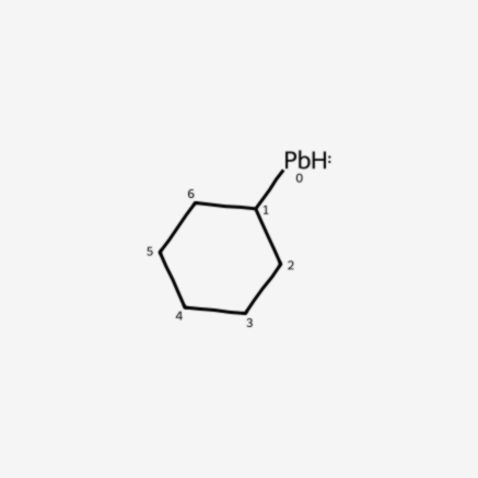 [PbH][CH]1CCCCC1